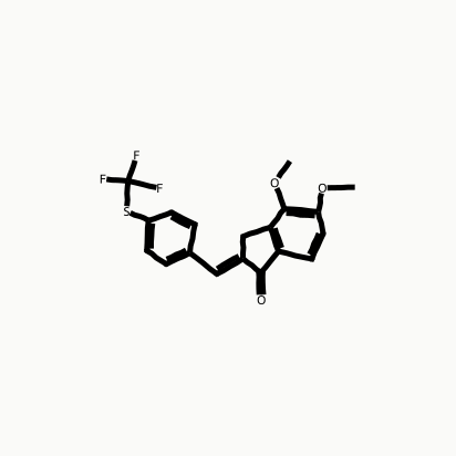 COc1ccc2c(c1OC)C/C(=C\c1ccc(SC(F)(F)F)cc1)C2=O